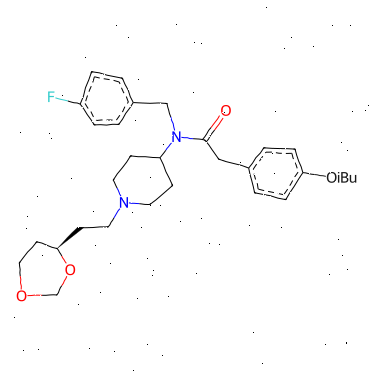 CC(C)COc1ccc(CC(=O)N(Cc2ccc(F)cc2)C2CCN(CC[C@@H]3CCOCO3)CC2)cc1